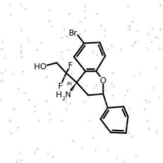 N[C@]1(C(F)(F)CO)CC(c2ccccc2)Oc2ccc(Br)cc21